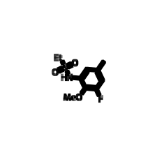 CCS(=O)(=O)Nc1cc(C)cc(F)c1OC